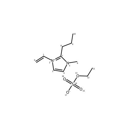 C=C[n+]1ccn(C)c1CCC.CCOS(=O)(=O)[O-]